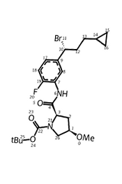 CO[C@@H]1C[C@H](C(=O)Nc2cc([C@H](Br)CCC3CC3)ccc2F)N(C(=O)OC(C)(C)C)C1